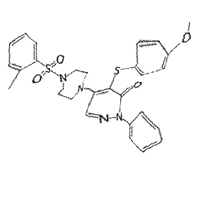 COc1ccc(Sc2c(N3CCN(S(=O)(=O)c4ccccc4C)CC3)cnn(-c3ccccc3)c2=O)cc1